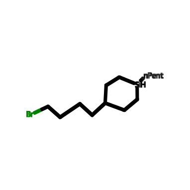 CCCCC[SiH]1CCC(CCCCBr)CC1